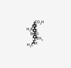 C/C=C(/C=C/c1ccc(C(CC)(CC)c2ccc(-c3ccc(CC(=O)O)cn3)c(C)c2)cc1C)CC